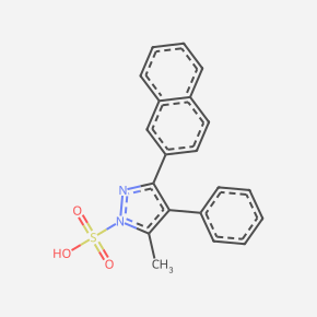 Cc1c(-c2ccccc2)c(-c2ccc3ccccc3c2)nn1S(=O)(=O)O